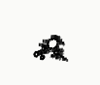 CCCNC[C@]1(O)[C@H](C)O[C@@H](O[C@H]2[C@H](C)[C@@H](O[C@@H]3O[C@H](C)C[C@H](N(Cc4ccccc4)S(=O)(=O)c4ccccc4)[C@H]3O)[C@](C)(O)C[C@@H](C)CN[C@H](C)[C@@H](O)[C@](C)(O)[C@@H](CC)OC(=O)[C@@H]2C)C[C@@]1(C)OC